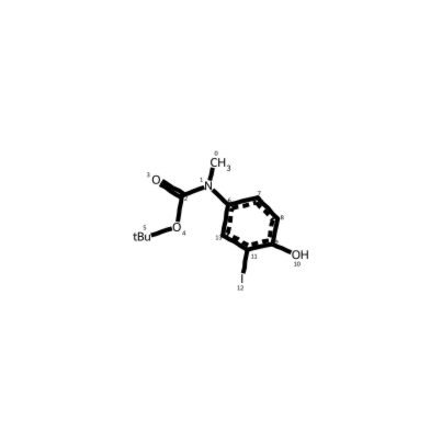 CN(C(=O)OC(C)(C)C)c1ccc(O)c(I)c1